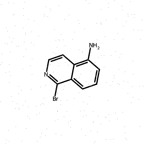 Nc1cccc2c(Br)nccc12